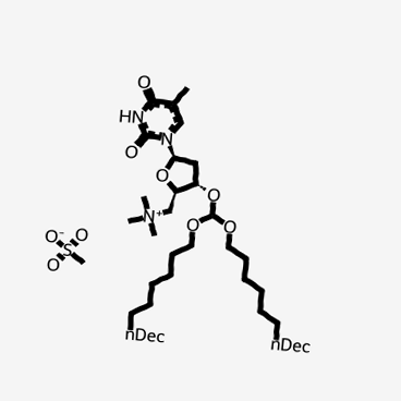 CCCCCCCCCCCCCCCCOC(OCCCCCCCCCCCCCCCC)O[C@H]1C[C@H](n2cc(C)c(=O)[nH]c2=O)O[C@@H]1C[N+](C)(C)C.CS(=O)(=O)[O-]